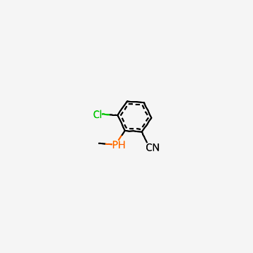 CPc1c(Cl)cccc1C#N